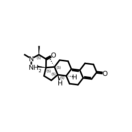 C[C@@H](C(=O)[C@@]1(C)CC[C@H]2[C@@H]3CCC4=CC(=O)CCC4=C3CC[C@@]21C)N(C)N